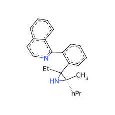 CCC[C@]1(C)NC1(CC)c1ccccc1-c1nccc2ccccc12